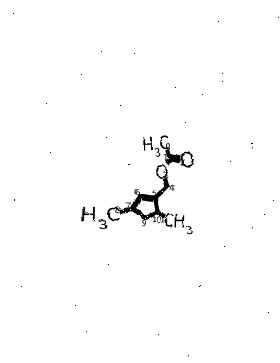 CC(=O)OCC1=CC(C)CC1C